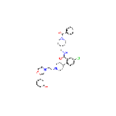 O=C1C=CC=C(C2=CN(CCN3CCC(c4ccc(Cl)cc4C(=O)NCC4CCN(C(=O)c5ccccc5)CC4)CC3)C=CO2)C1